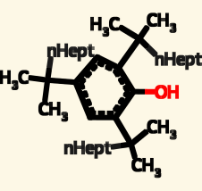 CCCCCCCC(C)(C)c1cc(C(C)(C)CCCCCCC)c(O)c(C(C)(C)CCCCCCC)c1